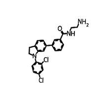 NCCNC(=O)c1cccc(-c2ccc3c(c2)N(c2ccc(Cl)cc2Cl)CC3)c1